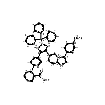 COC(=O)c1ccccc1-c1ccc(-c2nn(C(c3ccccc3)(c3ccccc3)c3ccccc3)cc2-c2ccc3ncc(-c4ccc(OC)cc4)n3c2)cc1